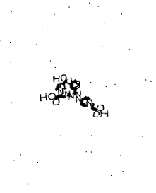 O=C(O)CCn1ccc(=NN=C(N=NCC(C(=O)O)[n+]2ccn(C(=O)O)c2)c2ccccc2)cc1